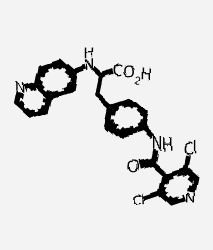 O=C(Nc1ccc(CC(Nc2ccc3ncccc3c2)C(=O)O)cc1)c1c(Cl)cncc1Cl